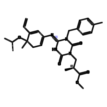 C=CC1=CC(/N=c2\[nH]c(=O)n(C[C@H](C)C(=O)OC)c(=O)n2Cc2ccc(C)cc2)=CCC1(C)OC(C)C